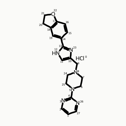 Cl.c1cnc(N2CCN(Cc3c[nH]c(-c4ccc5c(c4)CCO5)n3)CC2)nc1